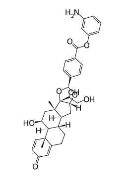 C[C@]12C=CC(=O)C=C1CC[C@@H]1[C@@H]2[C@@H](O)C[C@@]2(C)[C@H]1C[C@H]1O[C@H](c3ccc(C(=O)Oc4cccc(N)c4)cc3)O[C@]12C(O)CO